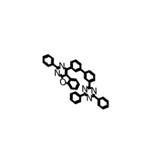 c1ccc(-c2nc(-c3ccccc3)nc(-c3cccc(-c4cccc(-c5nc(-c6ccccc6)nc6oc7ccccc7c56)c4)c3)n2)cc1